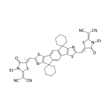 CCn1c(=C(C#N)C#N)s/c(=C\c2nc3c(s2)-c2cc4c(cc2C32CCCCC2)-c2sc(/C=c3\sc(=C(C#N)C#N)n(CC)c3=O)nc2C42CCCCC2)c1=O